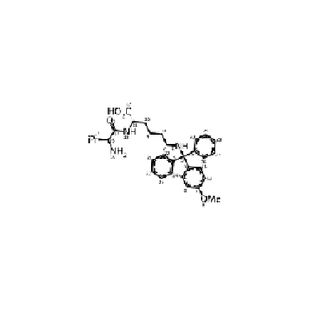 COc1ccc(C(NCCCC[C@H](NC(=O)[C@@H](N)C(C)C)C(=O)O)(c2ccccc2)c2ccccc2)cc1